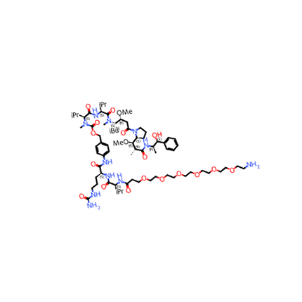 CC[C@H](C)[C@@H]([C@@H](CC(=O)N1CCC[C@H]1[C@H](OC)[C@@H](C)C(=O)N[C@H](C)[C@@H](O)c1ccccc1)OC)N(C)C(=O)[C@@H](NC(=O)[C@H](C(C)C)N(C)C(=O)OCc1ccc(NC(=O)[C@H](CCCNC(N)=O)NC(=O)[C@@H](NC(=O)CCOCCOCCOCCOCCOCCOCCN)C(C)C)cc1)C(C)C